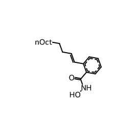 CCCCCCCCCC/C=C/c1ccccc1C(=O)NO